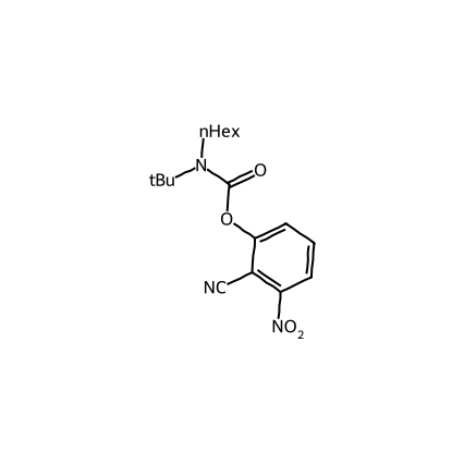 CCCCCCN(C(=O)Oc1cccc([N+](=O)[O-])c1C#N)C(C)(C)C